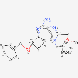 CCOCc1nc2c(N)nc3cc(OCc4ccccc4)ccc3c2n1CC(C)(C)NC(C)=O